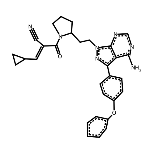 N#CC(=CC1CC1)C(=O)N1CCCC1CCn1nc(-c2ccc(Oc3ccccc3)cc2)c2c(N)ncnc21